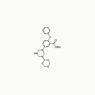 COC(=O)c1cc(N2CNCN(C3OCOCO3)C2)ccc1Oc1ccccc1